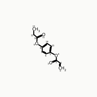 C=CC(=O)Oc1ccc(OC(=O)CC)cc1